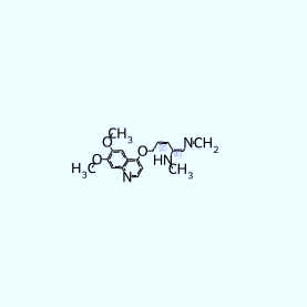 C=N/C=C(\C=C/COc1ccnc2cc(OC)c(OC)cc12)NC